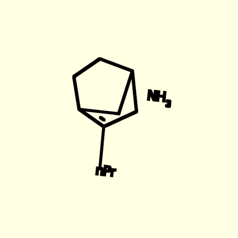 CCCC1=C2CCC(C1)C2.N